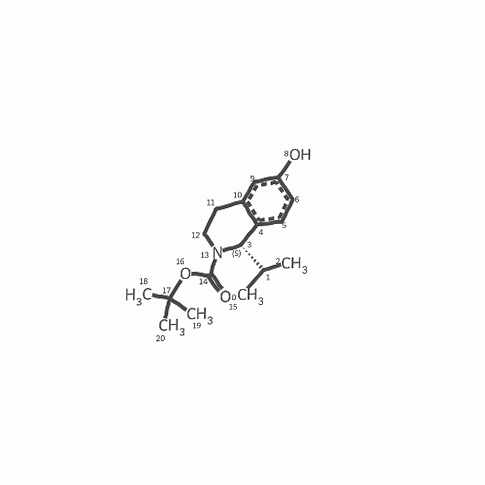 CC(C)[C@H]1c2ccc(O)cc2CCN1C(=O)OC(C)(C)C